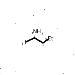 CCCCI.N